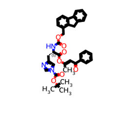 CC(=CC(=O)c1ccccc1)OC(=O)[C@H](Cc1cn(C(=O)OC(C)(C)C)cn1)NC(=O)OCc1cccc2c1Cc1ccccc1-2